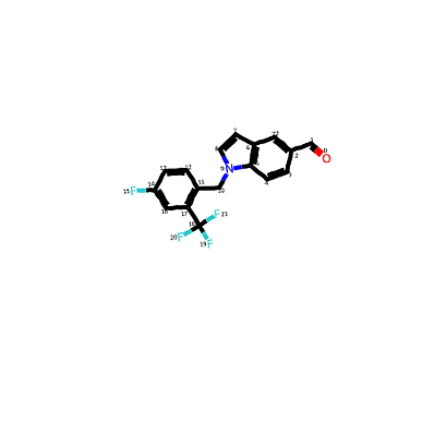 O=Cc1ccc2c(ccn2Cc2ccc(F)cc2C(F)(F)F)c1